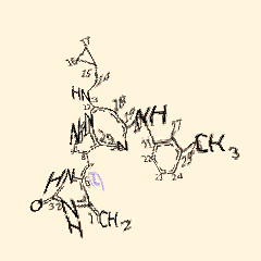 C=c1[nH]c(=O)[nH]/c1=C\c1cnn2c(NCC3CC3)cc(Nc3cccc(C)c3)nc12